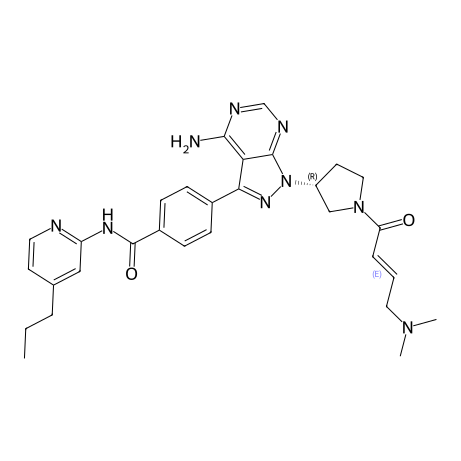 CCCc1ccnc(NC(=O)c2ccc(-c3nn([C@@H]4CCN(C(=O)/C=C/CN(C)C)C4)c4ncnc(N)c34)cc2)c1